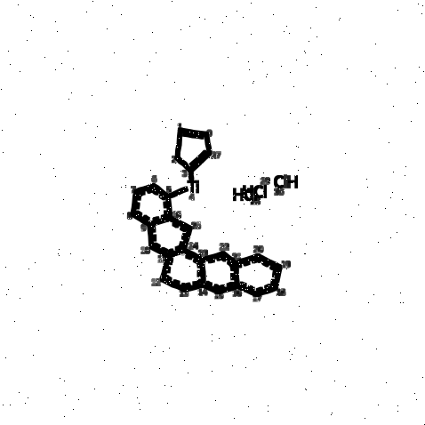 C1=CC[C]([Ti][c]2cccc3cc4ccc5cc6ccccc6cc5c4cc23)=C1.Cl.Cl.Cl